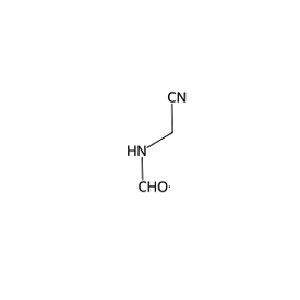 N#CCN[C]=O